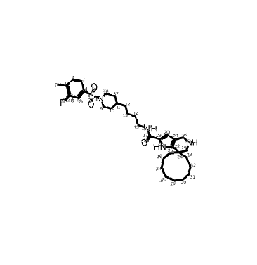 Cc1ccc(S(=O)(=O)N2CCC(CCCCNC(=O)c3cc4c([nH]3)C3(CCCCCCCCC3)CNC4)CC2)cc1F